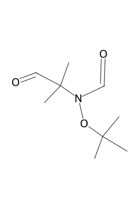 CC(C)(C)ON(C=O)C(C)(C)C=O